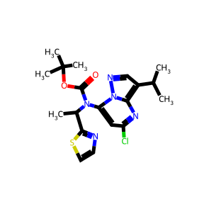 CC(C)c1cnn2c(N(C(=O)OC(C)(C)C)C(C)c3nccs3)cc(Cl)nc12